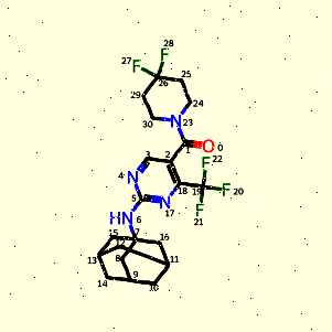 O=C(c1cnc(NC23CC4CC(CC(C4)C2)C3)nc1C(F)(F)F)N1CCC(F)(F)CC1